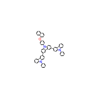 c1ccc(-n2c3ccccc3c3cc(-c4ccc5c(c4)c4cc(-c6ccc7c(c6)c6ccccc6n7-c6ccccc6)ccc4n5-c4ccc(Oc5cccc6ccccc56)cc4)ccc32)cc1